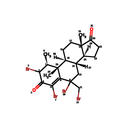 C[C@H]1C(Br)C(=O)C(Br)=C2C(Br)(CBr)C[C@@H]3[C@H](CC[C@]4(C)C(=O)CC[C@@H]34)[C@]21C